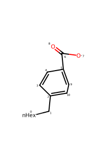 CCCCCCCc1ccc(C([O])=O)cc1